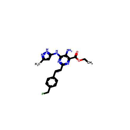 CCOC(=O)c1nc(/C=C/c2ccc(CF)cc2)nc(Nc2cc(C)n[nH]2)c1N